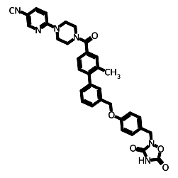 [C-]#[N+]c1ccc(N2CCN(C(=O)c3ccc(-c4cccc(COc5ccc(Cn6oc(=O)[nH]c6=O)cc5)c4)c(C)c3)CC2)nc1